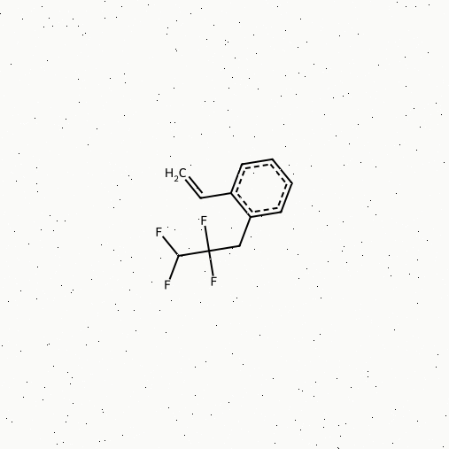 C=Cc1ccccc1CC(F)(F)C(F)F